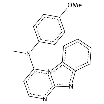 COc1ccc(N(C)c2ccnc3nc4ccccc4n23)cc1